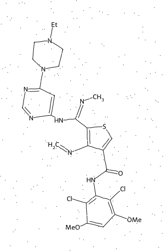 C=Nc1c(C(=O)Nc2c(Cl)c(OC)cc(OC)c2Cl)csc1/C(=N\C)Nc1cc(N2CCN(CC)CC2)ncn1